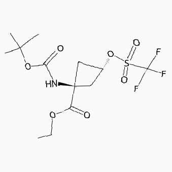 CCOC(=O)[C@]1(NC(=O)OC(C)(C)C)C[C@H](OS(=O)(=O)C(F)(F)F)C1